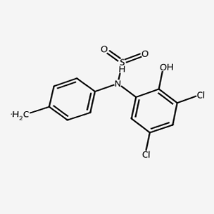 [CH2]c1ccc(N(c2cc(Cl)cc(Cl)c2O)[SH](=O)=O)cc1